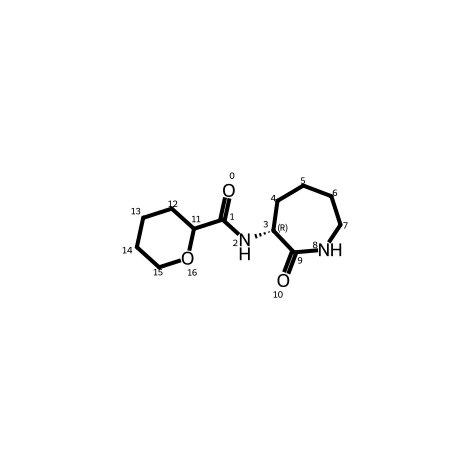 O=C(N[C@@H]1CCCCNC1=O)C1CCCCO1